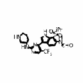 CC(C)S(=O)(=O)c1c(NC=O)ccc2c(-c3nc(NC4CCCNC4)ncc3C(F)(F)F)c[nH]c12